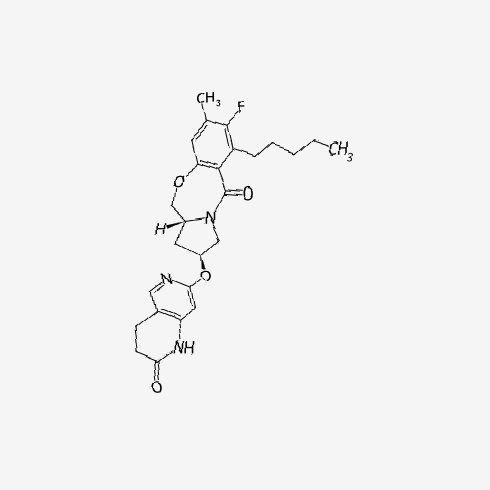 CCCCCc1c(F)c(C)cc2c1C(=O)N1C[C@@H](Oc3cc4c(cn3)CCC(=O)N4)C[C@@H]1CO2